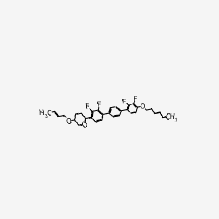 C/C=C/COC1CCC(c2ccc(-c3ccc(-c4ccc(OCCCCCC)c(F)c4F)cc3)c(F)c2F)OC1